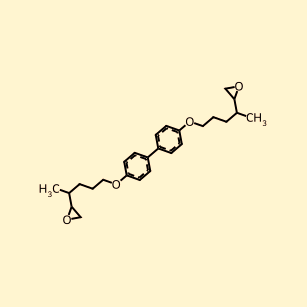 CC(CCCOc1ccc(-c2ccc(OCCCC(C)C3CO3)cc2)cc1)C1CO1